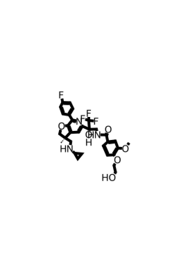 COc1cc(C(=O)NCC(O)(c2cc3c(c(-c4ccc(F)cc4)n2)OC[C@]3(C)CNC2CC2)C(F)(F)F)ccc1OCCO